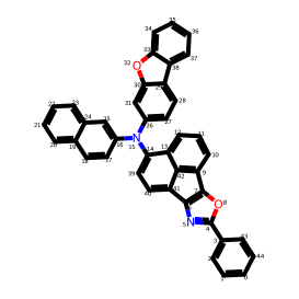 c1ccc(-c2nc3c(o2)-c2cccc4c(N(c5ccc6ccccc6c5)c5ccc6c(c5)oc5ccccc56)ccc-3c24)cc1